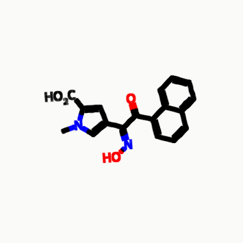 Cn1cc(C(=NO)C(=O)c2cccc3ccccc23)cc1C(=O)O